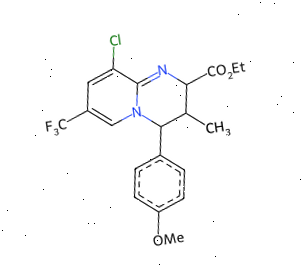 CCOC(=O)C1N=C2C(Cl)=CC(C(F)(F)F)=CN2C(c2ccc(OC)cc2)C1C